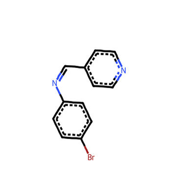 Brc1ccc(/N=C\c2ccncc2)cc1